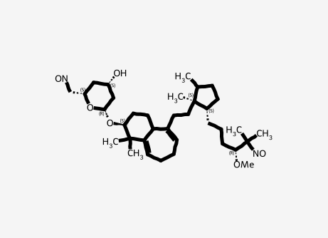 CO[C@H](CCC[C@H]1CCC(C)[C@]1(C)CCC1=CCCC=C2C1CC[C@H](O[C@H]1C[C@@H](O)C[C@@H](CN=O)O1)C2(C)C)C(C)(C)N=O